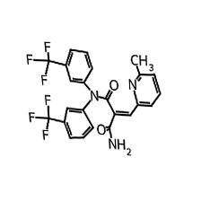 Cc1cccc(C=C(C(N)=O)C(=O)N(c2cccc(C(F)(F)F)c2)c2cccc(C(F)(F)F)c2)n1